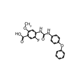 COc1cc(NC(=O)Nc2ccc(Oc3ccccc3)cc2)c(F)cc1C(=O)O